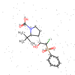 CC(C)(C)C1[C@@H](C(O)C(F)S(=O)(=O)c2ccccc2)CCN1C(=O)O